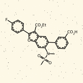 CCOC(=O)c1c(-c2ccc(F)cc2)oc2cc(N(C)S(C)(=O)=O)c(-c3cccc(C(=O)O)c3)cc12